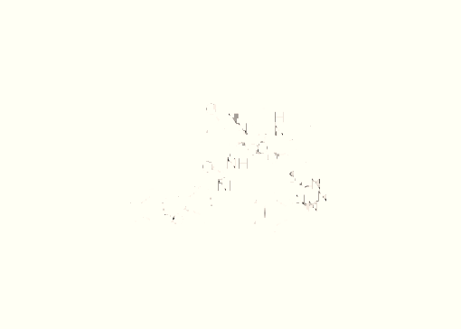 CC(C)[C@H](NC(=O)[C@@H]1CCCN2C(=O)CC[C@H](NC(=O)Nc3ccc(Oc4ccccc4)cc3)C(=O)N12)C(=O)CSc1nnnn1-c1ccccc1